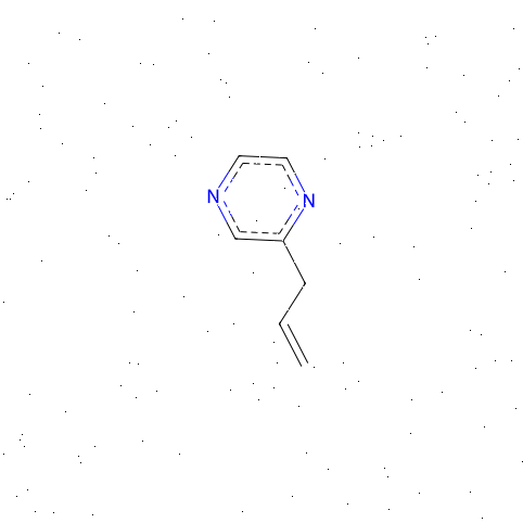 C=CCc1cnccn1